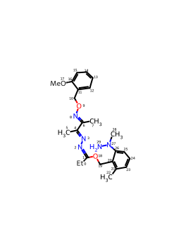 CCC(=NN=C(C)/C(C)=N/OCc1ccccc1OC)OCc1c(C)cccc1N(C)N